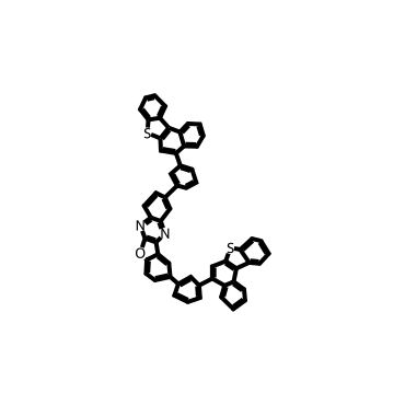 c1cc(-c2ccc3nc4oc5ccc(-c6cccc(-c7cc8sc9ccccc9c8c8ccccc78)c6)cc5c4nc3c2)cc(-c2cc3sc4ccccc4c3c3ccccc23)c1